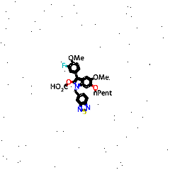 CCCCCOc1cc2c(cc1OC)c(-c1ccc(OC)c(F)c1)c(OC(=O)O)n2Cc1ccc2nsnc2c1